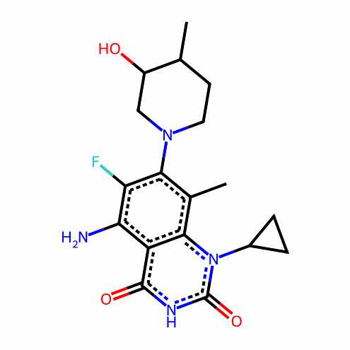 Cc1c(N2CCC(C)C(O)C2)c(F)c(N)c2c(=O)[nH]c(=O)n(C3CC3)c12